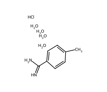 Cc1ccc(C(=N)N)cc1.Cl.O.O.O.O